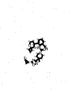 CC1(c2noc([C@@H]3C[C@@H]3F)n2)CCN(C(=O)Nc2c(C#N)cccc2C2CCOC3(CCC3)C2)CC1